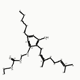 CCCCCc1cc(O)c(CC=C(C)CCC=C(C)C)c(OCOC(=O)OCC)c1